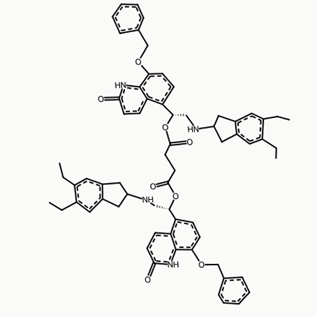 CCc1cc2c(cc1CC)CC(NC[C@H](OC(=O)CCC(=O)O[C@@H](CNC1Cc3cc(CC)c(CC)cc3C1)c1ccc(OCc3ccccc3)c3[nH]c(=O)ccc13)c1ccc(OCc3ccccc3)c3[nH]c(=O)ccc13)C2